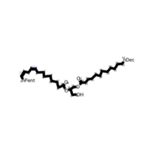 CCCCC/C=C\C/C=C\CCCCCCCC(=O)OC(CO)COC(=O)CCCCCCCCCCCCCCCCCCCCC